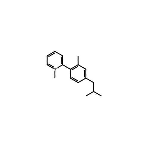 Cc1cc(CC(C)C)ccc1-c1cccc[n+]1C